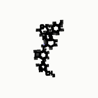 Cc1cn(-c2ccc(/C=C3\CCCN4C3=NC3(CCOCC3)N4c3ccc(F)cc3)c3c2CC3)cn1